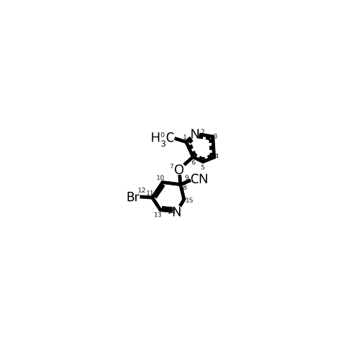 Cc1ncccc1OC1(C#N)C=C(Br)C=NC1